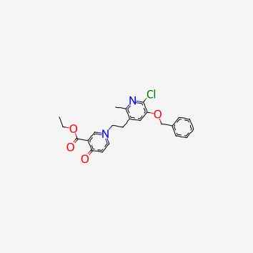 CCOC(=O)c1cn(CCc2cc(OCc3ccccc3)c(Cl)nc2C)ccc1=O